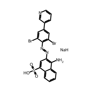 Nc1c(/N=N/c2c(Br)cc(-c3cccnc3)cc2Br)cc(S(=O)(=O)O)c2ccccc12.[NaH]